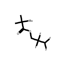 CC(C)(C)C(C)(C)C(=O)OCC(F)(F)C(F)F